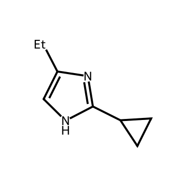 CCc1c[nH]c(C2CC2)n1